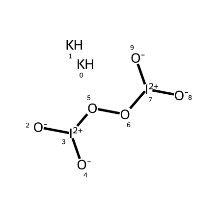 [KH].[KH].[O-][I+2]([O-])OO[I+2]([O-])[O-]